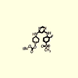 CC(C)(C)OC(=O)ON1CCC(Nc2cc(Nc3ccc(S(C)(=O)=O)cc3F)ncn2)CC1